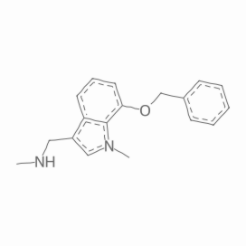 CNCc1cn(C)c2c(OCc3ccccc3)cccc12